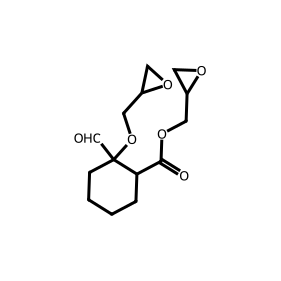 O=CC1(OCC2CO2)CCCCC1C(=O)OCC1CO1